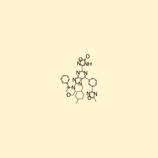 Cc1nc(-c2cccc(-c3nc(-c4noc(=O)[nH]4)nc4nc(N5CCOC[C@H]5c5ccccc5)n(CC5CCC(C)CC5)c34)c2)no1